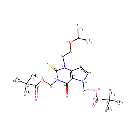 CC(C)OCCn1c(=S)n(COC(=O)C(C)(C)C)c(=O)c2c1ccn2COC(=O)C(C)(C)C